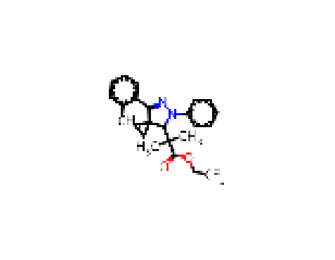 Cc1ccccc1C1=NN(c2ccccc2)C(C(C)(C)C(=O)OCC(F)(F)F)C12CC2